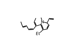 C=CC1C=CC(CC)=C(C(/C=C\C=C\C)=C\C)N1C